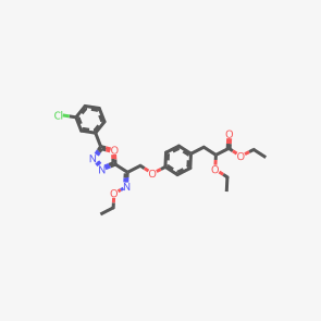 CCON=C(COc1ccc(CC(OCC)C(=O)OCC)cc1)c1nnc(-c2cccc(Cl)c2)o1